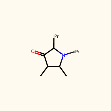 CC(C)C1C(=O)C(C)C(C)N1C(C)C